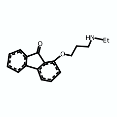 CCNCCCOc1cccc2c1C(=O)c1ccccc1-2